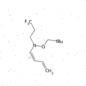 C=C/C=C\N(CCC(F)(F)F)OCC(C)(C)C